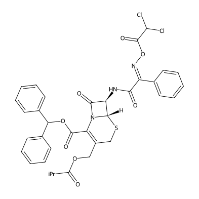 CC(C)C(=O)OCC1=C(C(=O)OC(c2ccccc2)c2ccccc2)N2C(=O)[C@@H](NC(=O)C(=NOC(=O)C(Cl)Cl)c3ccccc3)[C@@H]2SC1